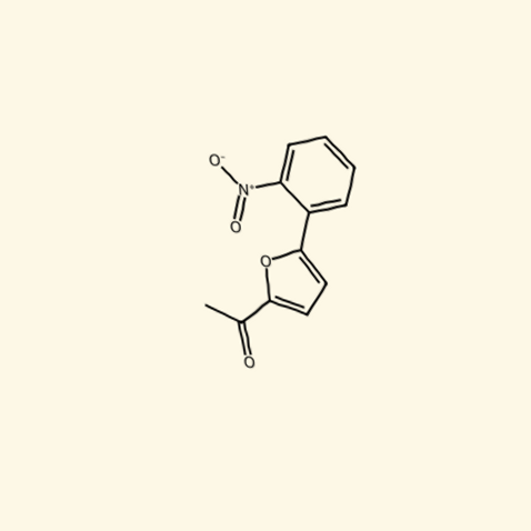 CC(=O)c1ccc(-c2ccccc2[N+](=O)[O-])o1